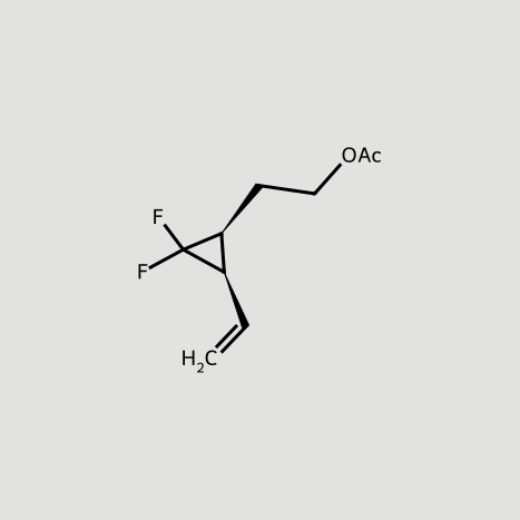 C=C[C@@H]1[C@H](CCOC(C)=O)C1(F)F